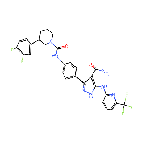 NC(=O)c1c(-c2ccc(NC(=O)N3CCCC(c4ccc(F)c(F)c4)C3)cc2)n[nH]c1Nc1cccc(C(F)(F)F)n1